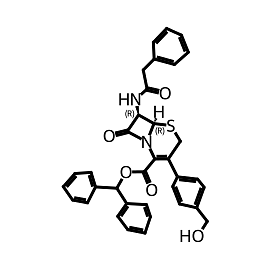 O=C(Cc1ccccc1)N[C@@H]1C(=O)N2C(C(=O)OC(c3ccccc3)c3ccccc3)=C(c3ccc(CO)cc3)CS[C@H]12